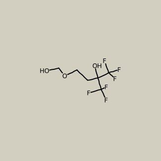 OCOCCC(O)(C(F)(F)F)C(F)(F)F